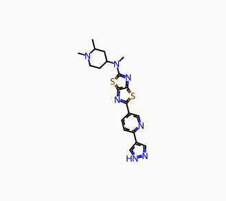 CC1CC(N(C)c2nc3sc(-c4ccc(-c5cn[nH]c5)nc4)nc3s2)CCN1C